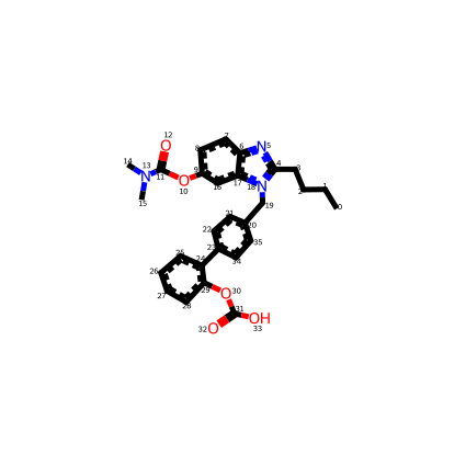 CCCCc1nc2ccc(OC(=O)N(C)C)cc2n1Cc1ccc(-c2ccccc2OC(=O)O)cc1